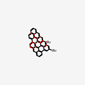 CC(C)(C)c1cc(-c2cccc3cccc(-c4ccccc4N(c4ccc5ccccc5c4)c4ccccc4-c4ccccc4-c4ccccc4-c4ccccc4)c23)cc(C(C)(C)C)c1